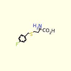 N[C@@H](CCSCc1ccc(F)cc1)C(=O)O